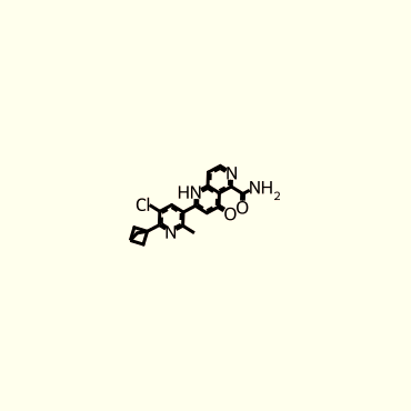 Cc1nc(C23CC(C2)C3)c(Cl)cc1-c1cc(=O)c2c(C(N)=O)nccc2[nH]1